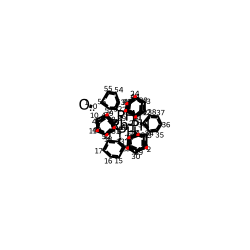 [C]=O.c1ccc([PH](c2ccccc2)(c2ccccc2)[Rh]([PH](c2ccccc2)(c2ccccc2)c2ccccc2)[PH](c2ccccc2)(c2ccccc2)c2ccccc2)cc1